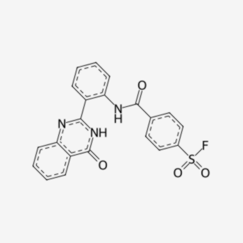 O=C(Nc1ccccc1-c1nc2ccccc2c(=O)[nH]1)c1ccc(S(=O)(=O)F)cc1